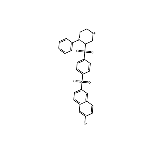 O=S(=O)(c1ccc(S(=O)(=O)C2CNCCN2c2ccncc2)cc1)c1ccc2cc(Br)ccc2c1